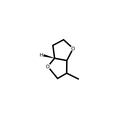 CC1CO[C@@H]2CCOC12